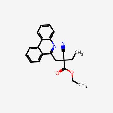 CCOC(=O)C(C#N)(CC)Cc1nc2ccccc2c2ccccc12